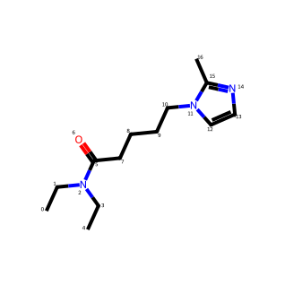 CCN(CC)C(=O)CCCCn1c[c]nc1C